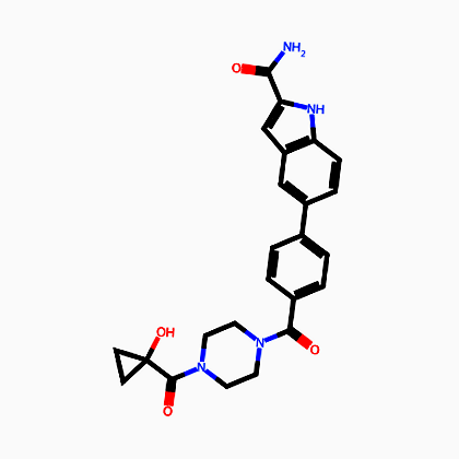 NC(=O)c1cc2cc(-c3ccc(C(=O)N4CCN(C(=O)C5(O)CC5)CC4)cc3)ccc2[nH]1